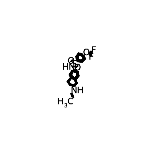 CCCNC1CCc2cc(NS(=O)(=O)c3ccc(OC(F)F)cc3)ccc2C1